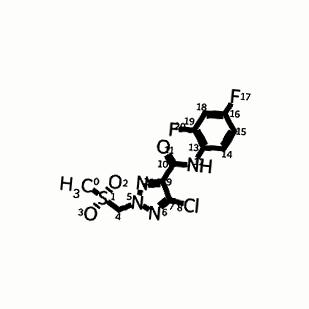 CS(=O)(=O)Cn1nc(Cl)c(C(=O)Nc2ccc(F)cc2F)n1